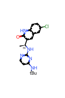 C[C@H](Nc1nccc(NC(C)(C)C)n1)c1cc2cc(Cl)ccc2[nH]c1=O